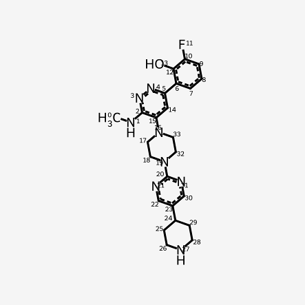 CNc1nnc(-c2cccc(F)c2O)cc1N1CCN(c2ncc(C3CCNCC3)cn2)CC1